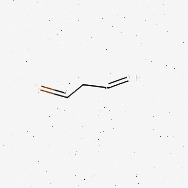 C=CC[C]=S